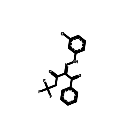 O=C(CC(F)(F)F)C(=NNc1cccc(Cl)c1)C(=O)c1ccccc1